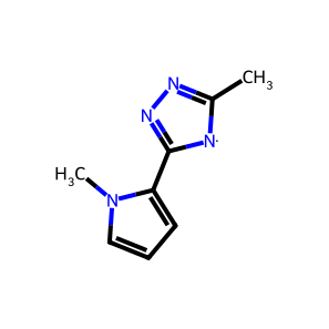 CC1=NN=C(c2cccn2C)[N]1